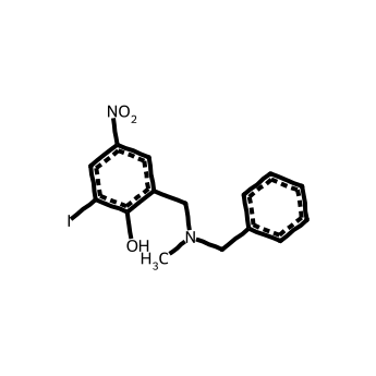 CN(Cc1ccccc1)Cc1cc([N+](=O)[O-])cc(I)c1O